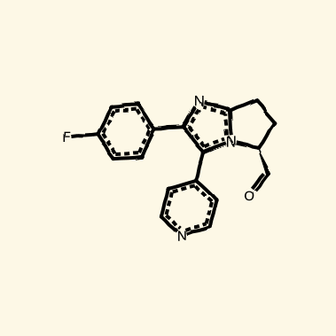 O=C[C@@H]1CCc2nc(-c3ccc(F)cc3)c(-c3ccncc3)n21